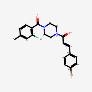 Cc1ccc(C(=O)N2CCN(C(=O)/C=C/c3ccc(Br)cc3)CC2)c(F)c1